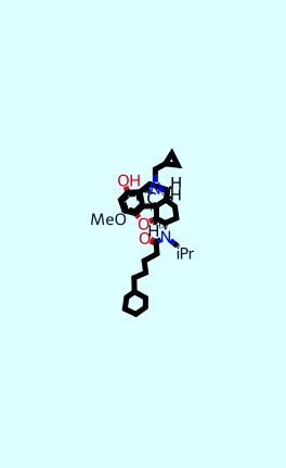 COc1cc(O)c2c3c1O[C@H]1[C@@H](N(CC(C)C)C(=O)CCCCC4CCCCC4)CC[C@H]4[C@@H](C2)N(CC2CC2)CC[C@@]341